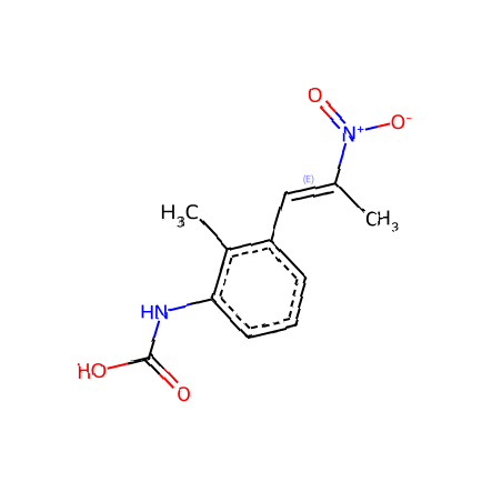 C/C(=C\c1cccc(NC(=O)O)c1C)[N+](=O)[O-]